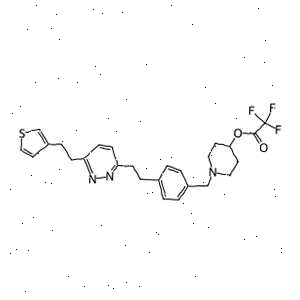 O=C(OC1CCN(Cc2ccc(CCc3ccc(CCc4ccsc4)nn3)cc2)CC1)C(F)(F)F